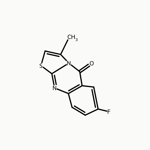 Cc1csc2nc3ccc(F)cc3c(=O)n12